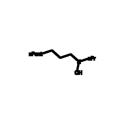 CCCCCCCCN(O)CCC